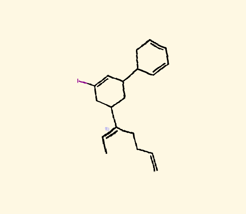 C=CCC/C(=C\C)C1CC(I)=CC(C2C=CC=CC2)C1